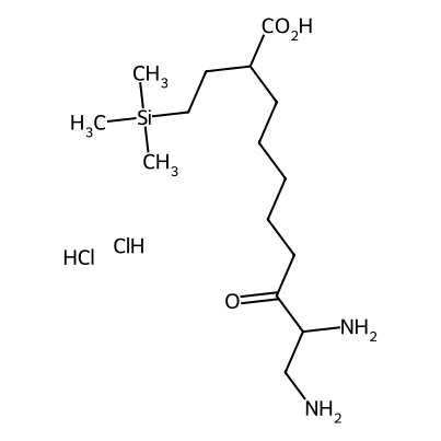 C[Si](C)(C)CCC(CCCCCC(=O)C(N)CN)C(=O)O.Cl.Cl